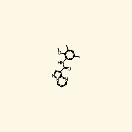 COc1c(C)cc(C)cc1NC(=O)c1cnn2cccnc12